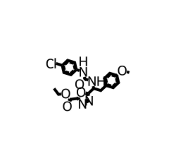 CCOC(=O)c1nnc(C(Cc2ccc(OC)cc2)NC(=O)Nc2ccc(Cl)cc2)o1